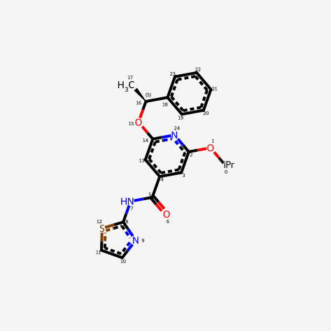 CC(C)Oc1cc(C(=O)Nc2nccs2)cc(O[C@@H](C)c2ccccc2)n1